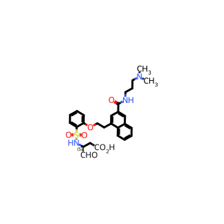 CN(C)CCCNC(=O)c1cc(CCOc2ccccc2S(=O)(=O)N[C@H](C=O)CC(=O)O)c2ccccc2c1